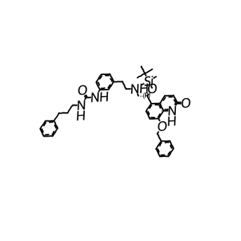 CC(C)(C)[Si](C)(C)O[C@@H](CNCCc1cccc(NC(=O)NCCCc2ccccc2)c1)c1ccc(OCc2ccccc2)c2[nH]c(=O)ccc12